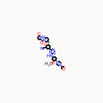 COc1cc(Nc2ncnc(-c3ccc(OC4[C@H](F)CCCN4C(=O)[C@@H]4CCC(=O)N4)c(C#N)c3)n2)ccc1N1CCN(C2COC2)CC1